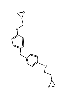 c1cc(OCCC2CO2)ccc1Cc1ccc(OCC2CO2)cc1